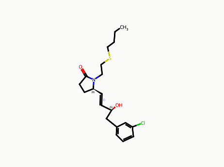 CCCCSCCN1C(=O)CC[C@@H]1/C=C/[C@@H](O)Cc1cccc(Cl)c1